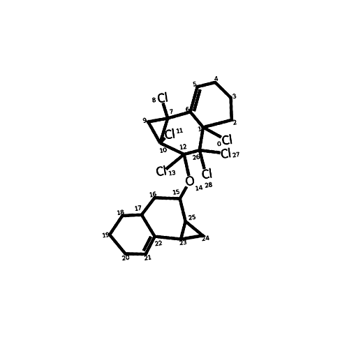 ClC12CCCC=C1C1(Cl)CC1(Cl)C(Cl)(OC1CC3CCCC=C3C3CC13)C2(Cl)Cl